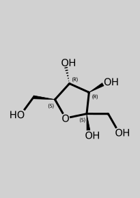 OC[C@@H]1O[C@@](O)(CO)[C@H](O)[C@H]1O